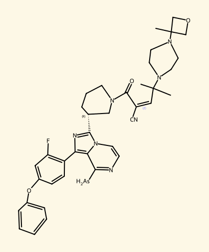 CC(C)(/C=C(/C#N)C(=O)N1CCC[C@@H](c2nc(-c3ccc(Oc4ccccc4)cc3F)c3c([AsH2])nccn23)C1)N1CCN(C2(C)COC2)CC1